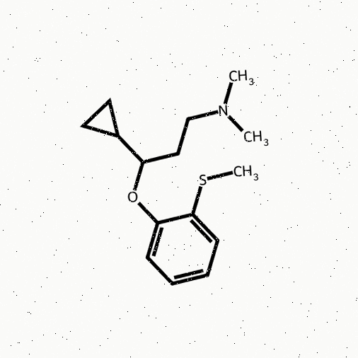 CSc1ccccc1OC(CCN(C)C)C1CC1